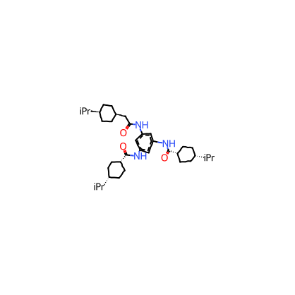 CC(C)[C@H]1CC[C@@H](CC(=O)Nc2cc(NC(=O)[C@H]3CC[C@@H](C(C)C)CC3)cc(NC(=O)[C@H]3CC[C@@H](C(C)C)CC3)c2)CC1